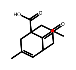 CC=C1C2C=C(C)CC1(C(=O)O)CC(=O)C2